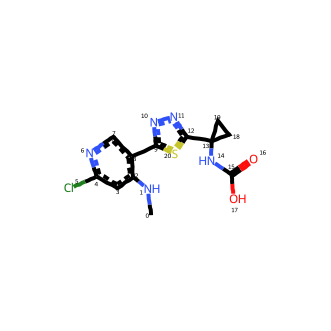 CNc1cc(Cl)ncc1-c1nnc(C2(NC(=O)O)CC2)s1